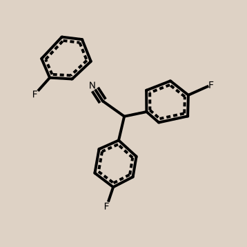 Fc1ccccc1.N#CC(c1ccc(F)cc1)c1ccc(F)cc1